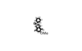 COc1cc(C)c(CS(=O)(=O)c2ccccc2)c(C)c1C